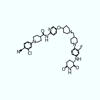 N#Cc1ccc(N2CCC(C(=O)Nc3ccc(OC4CCN(CC5CCN(c6ccc(N[C@@H]7CCC(=O)NC7=O)cc6F)CC5)CC4)cn3)CC2)cc1Cl